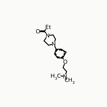 CCC(=O)N1CCN(c2ccc(OCCN(C)C)cc2)CC1